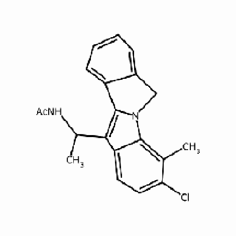 CC(=O)NC(C)c1c2n(c3c(C)c(Cl)ccc13)Cc1ccccc1-2